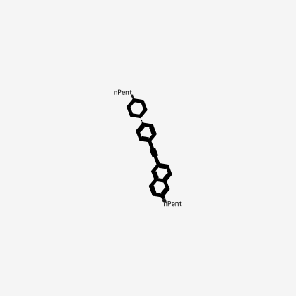 CCCCCc1ccc2cc(C#Cc3ccc([C@H]4CC[C@H](CCCCC)CC4)cc3)ccc2c1